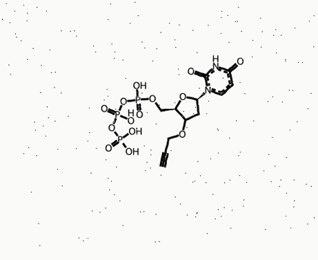 C#CCOC1C[C@H](n2ccc(=O)[nH]c2=O)O[C@@H]1COP(=O)(O)OP(=O)(O)OP(=O)(O)O